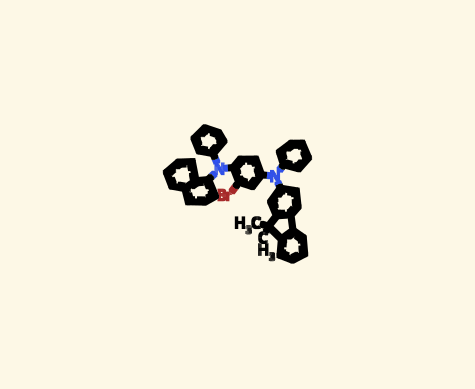 CC1(C)c2ccccc2-c2ccc(N(c3ccccc3)c3ccc(N(c4ccccc4)c4cccc5ccccc45)c(Br)c3)cc21